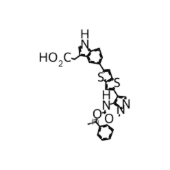 C[C@@H](OC(=O)Nc1c(-c2cc3sc(-c4ccc5[nH]cc(CC(=O)O)c5c4)cc3s2)cnn1C)c1ccccc1